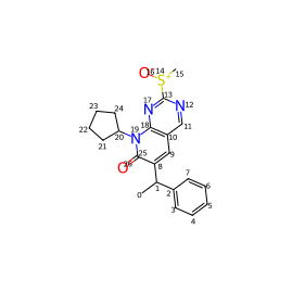 CC(c1ccccc1)c1cc2cnc([S+](C)[O-])nc2n(C2CCCC2)c1=O